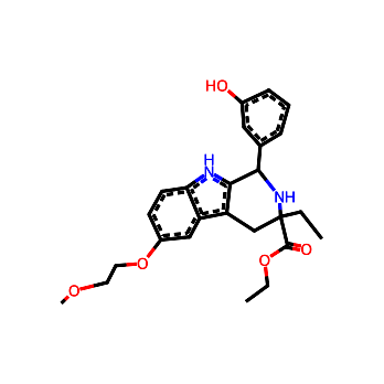 CCOC(=O)C1(CC)Cc2c([nH]c3ccc(OCCOC)cc23)C(c2cccc(O)c2)N1